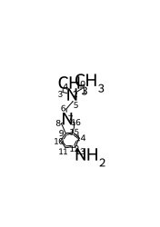 CCN(CC)CCN1Cc2ccc(N)cc2C1